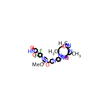 COC[C@@H]1CN(c2cc(F)c([C@H]3CCC(=O)NC3=O)c(F)c2)CCN1C(=O)C1CCN(c2ccc3c(c2)N2C[C@H](C)CCCOc4c(cnn4C)-c4cc(cc(C)n4)C(=O)/N=C/2N3)CC1